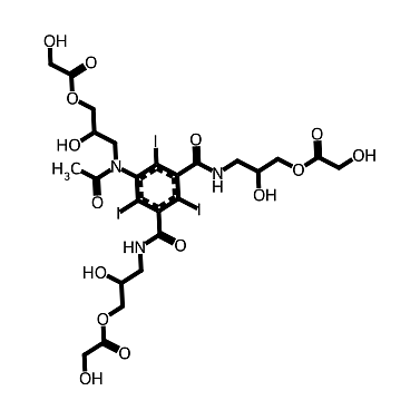 CC(=O)N(CC(O)COC(=O)CO)c1c(I)c(C(=O)NCC(O)COC(=O)CO)c(I)c(C(=O)NCC(O)COC(=O)CO)c1I